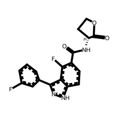 O=C(N[C@@H]1CCOC1=O)c1ccc2[nH]nc(-c3cccc(F)c3)c2c1F